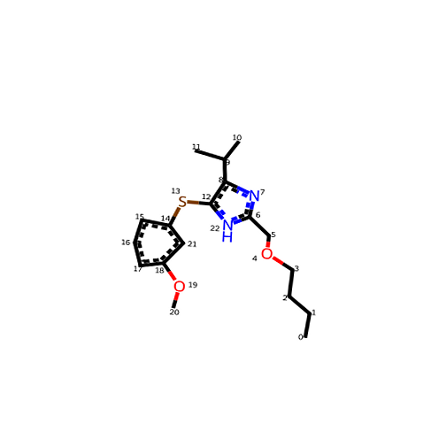 CCCCOCc1nc(C(C)C)c(Sc2cccc(OC)c2)[nH]1